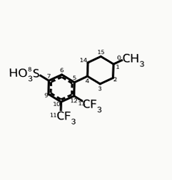 CC1CCC(c2cc(S(=O)(=O)O)cc(C(F)(F)F)c2C(F)(F)F)CC1